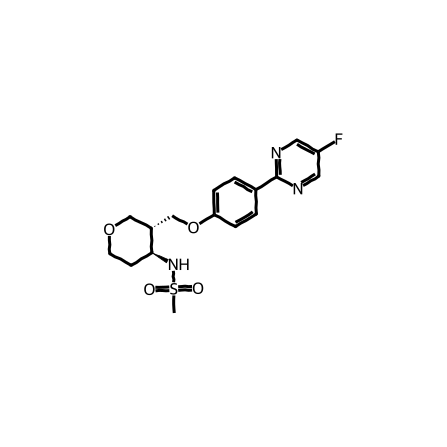 CS(=O)(=O)N[C@H]1CCOC[C@@H]1COc1ccc(-c2ncc(F)cn2)cc1